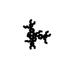 CCCCN(P(c1ccc([Si](CCCC)(CCCC)CCCC)cc1)c1ccc([Si](CCCC)(CCCC)CCCC)cc1)P(c1ccc([Si](CCCC)(CCCC)CCCC)cc1)c1cccc2ccoc12